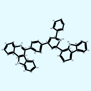 c1ccc(-c2cc(-c3ccc(-c4nc5ccccc5c5oc6ccccc6c45)cc3)cc(-c3cccc4c3sc3ccccc34)n2)cc1